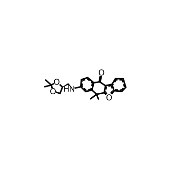 CC1(C)OC[C@H](CNc2ccc3c(c2)C(C)(C)c2oc4ccccc4c2C3=O)O1